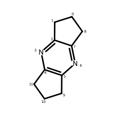 C1Cc2nc3c(nc2C1)CCC3